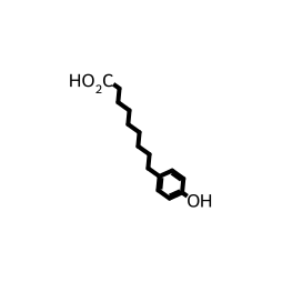 O=C(O)CCCCCCCCc1ccc(O)cc1